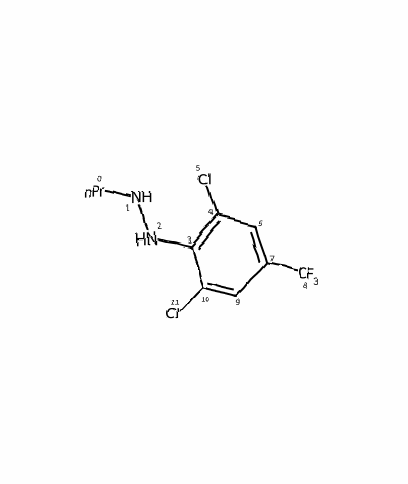 CCCNNc1c(Cl)cc(C(F)(F)F)cc1Cl